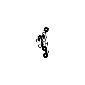 O=C(NCC(=O)N1C(=O)CC[C@H]1C(=O)OCc1ccccc1)c1ccc(Oc2ccccc2)cc1